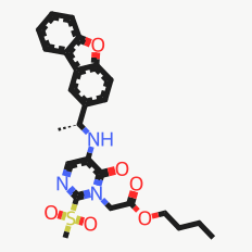 CCCCOC(=O)Cn1c(S(C)(=O)=O)ncc(N[C@H](C)c2ccc3oc4ccccc4c3c2)c1=O